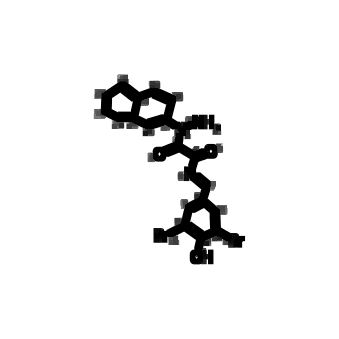 NN(C(=O)C(=O)N=Cc1cc(Br)c(O)c(Br)c1)c1ccc2ccccc2c1